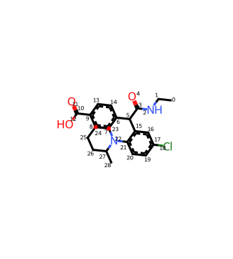 CCNC(=O)C(c1ccc(C(=O)O)cc1)c1cc(Cl)ccc1N1CCCCC1C